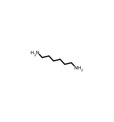 NCC[CH]CCCN